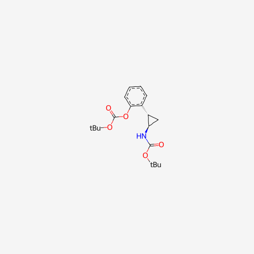 CC(C)(C)OC(=O)N[C@@H]1C[C@H]1c1ccccc1OC(=O)OC(C)(C)C